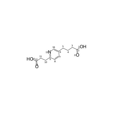 O=C(O)CCCc1ccc(CCC(=O)O)nc1